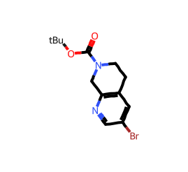 CC(C)(C)OC(=O)N1CCc2cc(Br)cnc2C1